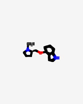 O=C(O)N1CCC[C@H]1COc1cccc2[nH]ccc12